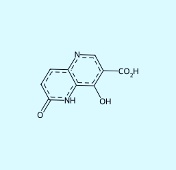 O=C(O)c1cnc2ccc(=O)[nH]c2c1O